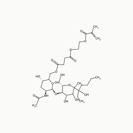 C=C(C)C(=O)OCCOC(=O)CCC(=O)OCC1O[C@@H](O[C@@H]2C(O)C(O)C(C)(C(O)(CC)CCCC)O[C@H]2C(=O)O)[C@@H](NC(C)=O)C[C@@H]1O